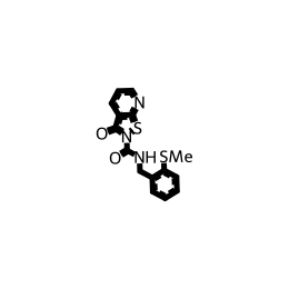 CSc1ccccc1CNC(=O)n1sc2ncccc2c1=O